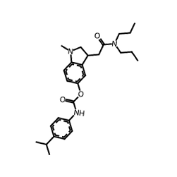 CCCN(CCC)C(=O)CC1CN(C)c2ccc(OC(=O)Nc3ccc(C(C)C)cc3)cc21